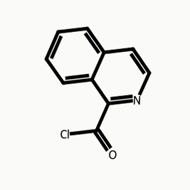 O=C(Cl)c1nccc2ccccc12